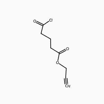 C#CCOC(=O)CCCC(=O)Cl